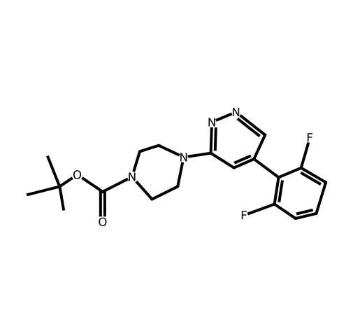 CC(C)(C)OC(=O)N1CCN(c2cc(-c3c(F)cccc3F)cnn2)CC1